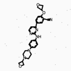 N#Cc1cc(-c2ccnc(Nc3ccc(N4CCN(C5COC5)CC4)cc3)n2)ccc1OC1COC1